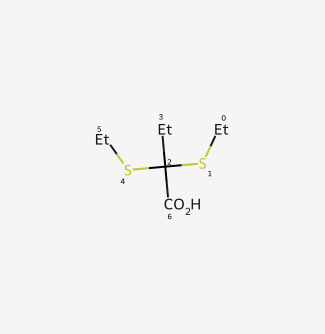 CCSC(CC)(SCC)C(=O)O